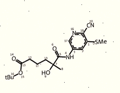 CSc1cc(NC(=O)C(C)(O)CCCC(=O)OC(C)(C)C)cnc1C#N